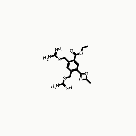 CCOC(=O)c1cc(C2OC(C)O2)c(CSC(=N)N)cc1CSC(=N)N